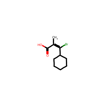 C/C(C(=O)O)=C(\Br)C1CCCCC1